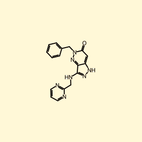 O=c1cc2[nH]nc(NCc3ncccn3)c2nn1Cc1ccccc1